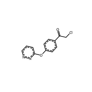 O=C(CCl)c1ccc(Oc2cccnn2)cc1